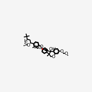 COCOc1ccc(C2(C)COc3cc(OCOC)ccc3C2(O)C#CCOc2ccc(C(CCC(C)(C)C)O[SiH](C)C)cc2)cc1